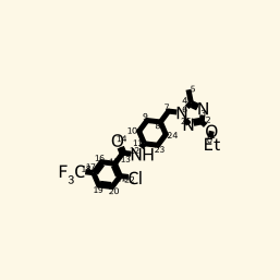 CCOc1nc(C)n(CC2CCC(NC(=O)c3cc(C(F)(F)F)ccc3Cl)CC2)n1